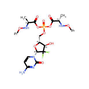 CC(C)ON[C@@H](C)C(=O)OP(=O)(OC[C@H]1O[C@@H](n2ccc(N)nc2=O)C(F)(F)[C@@H]1O)OC(=O)[C@H](C)NOC(C)C